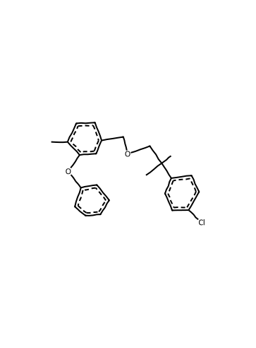 Cc1ccc(COCC(C)(C)c2ccc(Cl)cc2)cc1Oc1ccccc1